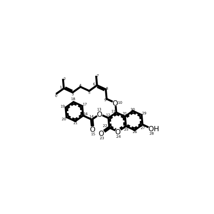 CC(C)=CCCC(C)=CCOc1c(OC(=O)c2ccccc2)c(=O)oc2cc(O)ccc12